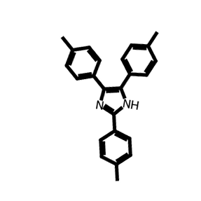 Cc1ccc(-c2nc(-c3ccc(C)cc3)c(-c3ccc(C)cc3)[nH]2)cc1